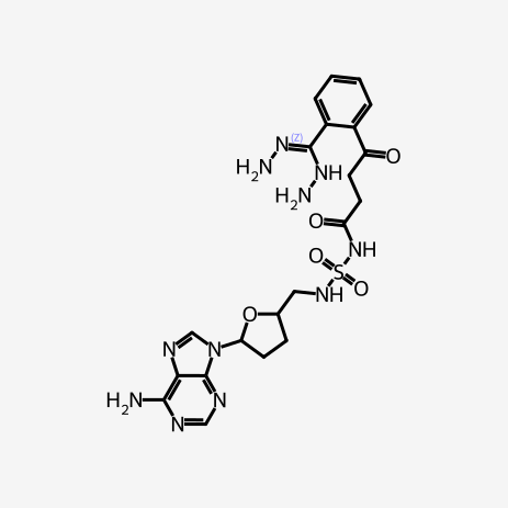 N/N=C(\NN)c1ccccc1C(=O)CCC(=O)NS(=O)(=O)NCC1CCC(n2cnc3c(N)ncnc32)O1